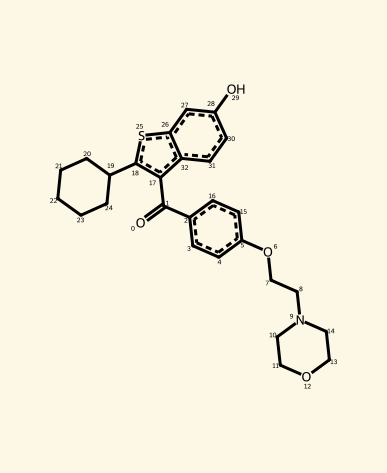 O=C(c1ccc(OCCN2CCOCC2)cc1)c1c(C2CCCCC2)sc2cc(O)ccc12